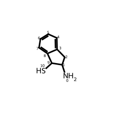 NC1Cc2ccccc2C1S